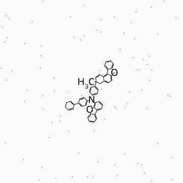 CC1(c2ccc(N(c3ccc(C4=CCCC=C4)cc3)c3cccc4c3oc3ccccc34)cc2)C=Cc2c(ccc3oc4ccccc4c23)C1